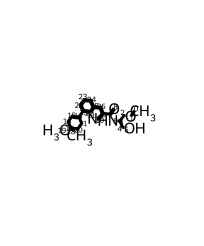 COCC(CO)NC(=O)c1cnc2c(C3=CCC(C)(C)CC3)cccc2c1